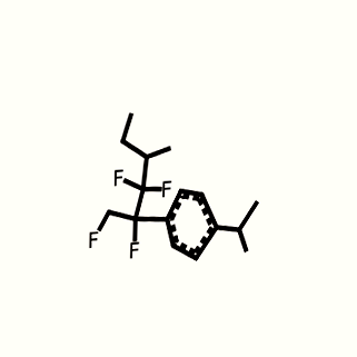 CCC(C)C(F)(F)C(F)(CF)c1ccc(C(C)C)cc1